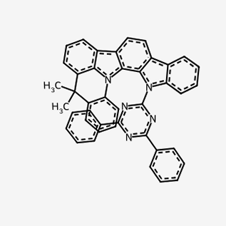 CC1(C)c2ccccc2-n2c3c1cccc3c1ccc3c4ccccc4n(-c4nc(-c5ccccc5)nc(-c5ccccc5)n4)c3c12